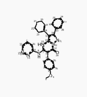 COc1ccc(-c2c(Nc3cccnn3)[nH]c3c(C4=CCCCC4)c(-c4ccccc4)nn3c2=O)cc1